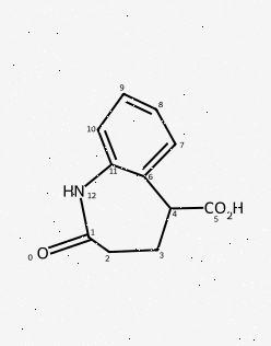 O=C1CCC(C(=O)O)c2ccccc2N1